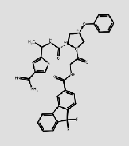 CC(NC(=O)[C@@H]1C[C@@H](Oc2ccccc2)CN1C(=O)CNC(=O)c1ccc2c(c1)-c1ccccc1C2(F)F)c1cc(C(=N)N)cs1